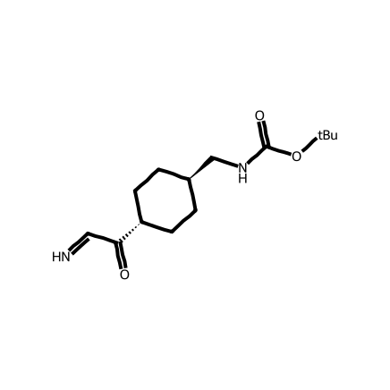 CC(C)(C)OC(=O)NC[C@H]1CC[C@H](C(=O)C=N)CC1